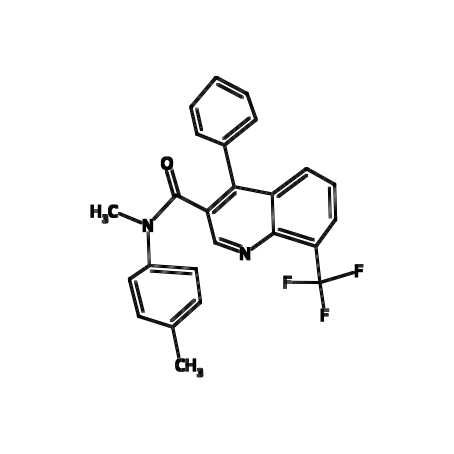 Cc1ccc(N(C)C(=O)c2cnc3c(C(F)(F)F)cccc3c2-c2ccccc2)cc1